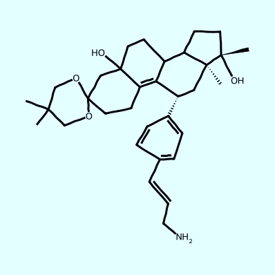 CC1(C)COC2(CCC3=C4C(CCC3(O)C2)C2CC[C@](C)(O)[C@@]2(C)C[C@@H]4c2ccc(/C=C/CN)cc2)OC1